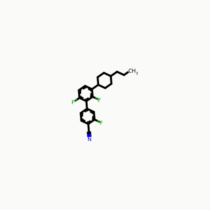 CCCC1CCC(c2ccc(F)c(-c3ccc(C#N)c(F)c3)c2F)CC1